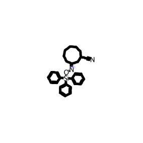 N#CC1CCCCCC/C(=N\O[Si](c2ccccc2)(c2ccccc2)c2ccccc2)C1